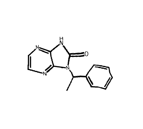 CC(c1ccccc1)n1c(=O)[nH]c2nccnc21